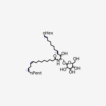 CCCCC/C=C\C/C=C\CCCCCCCC(=O)N[C@@H](CO[C@@H]1OC(CO)[C@@H](O)[C@@H](O)C1O)[C@H](O)/C=C/CCCCC/C=C/CCCCCC